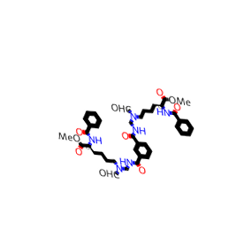 COC(=O)[C@H](CCCCN(C=O)CNC(=O)c1cccc(C(=O)NCN(C=O)CCCC[C@H](NC(=O)c2ccccc2)C(=O)OC)c1)NC(=O)c1ccccc1